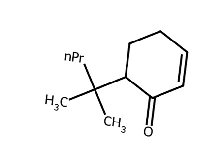 CCCC(C)(C)C1CCC=CC1=O